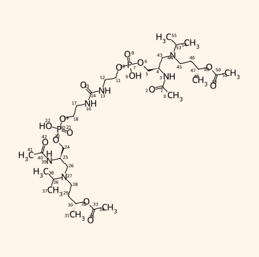 CC(=O)N[C@@H](COP(=O)(O)OCCNC(=O)NCCOP(=O)(O)OC[C@@H](CN(CC[C@@H](C)OC(C)=O)C(C)C)NC(C)=O)CN(CC[C@@H](C)OC(C)=O)C(C)C